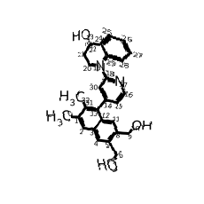 Cc1cc2cc(CO)c(CO)cc2c(-c2ccnc(N3CC[C@H](O)c4ccccc43)c2)c1C